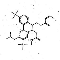 C=C(/C=C\C)CCC1c2ccc(C(C)(C)C)cc2-c2cc(CC(C)C)c([Si](C)(C)C)c[n+]2C1CC(=C)NC